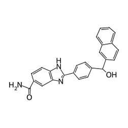 NC(=O)c1ccc2[nH]c(-c3ccc(C(O)c4ccc5ccccc5c4)cc3)nc2c1